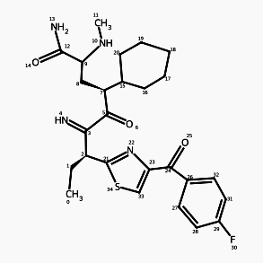 CC[C@@H](C(=N)C(=O)[C@@H](CC(NC)C(N)=O)C1CCCCC1)c1nc(C(=O)c2ccc(F)cc2)cs1